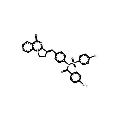 Cc1ccc(C(=O)N(c2ccc(/C=C3\CCn4c3nc(=O)c3ccccc34)cc2)S(=O)(=O)c2ccc(C)cc2)cc1